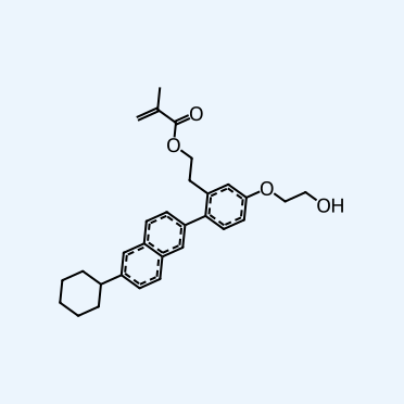 C=C(C)C(=O)OCCc1cc(OCCO)ccc1-c1ccc2cc(C3CCCCC3)ccc2c1